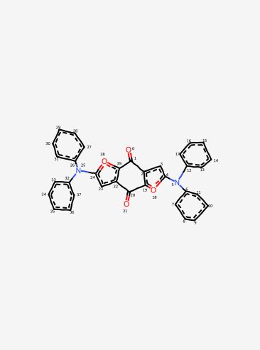 O=C1c2cc(N(c3ccccc3)c3ccccc3)oc2C(=O)c2cc(N(c3ccccc3)c3ccccc3)oc21